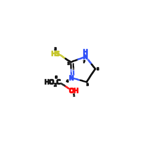 O=C(O)O.SC1=NCCN1